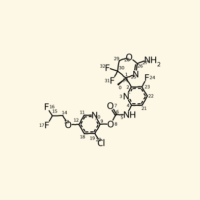 C[C@]1(c2nc(NC(=O)Oc3ncc(OCC(F)F)cc3Cl)ccc2F)N=C(N)OCC1(F)F